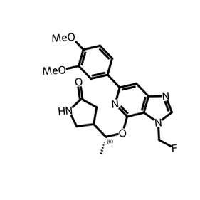 COc1ccc(-c2cc3ncn(CF)c3c(O[C@H](C)C3CNC(=O)C3)n2)cc1OC